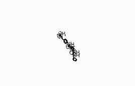 O=C(O)/C=C/c1ccc(NC(=O)c2csc(NC(=O)NCc3ccccc3)n2)cc1